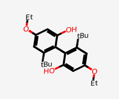 CCOc1cc(O)c(-c2c(O)cc(OCC)cc2C(C)(C)C)c(C(C)(C)C)c1